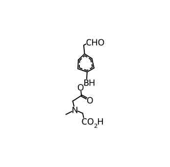 CN(CC(=O)O)CC(=O)OBc1ccc(CC=O)cc1